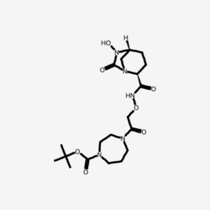 CC(C)(C)OC(=O)N1CCCN(C(=O)CONC(=O)[C@@H]2CC[C@@H]3CN2C(=O)N3O)CC1